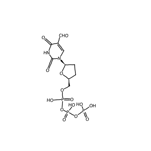 O=Cc1cn([C@H]2CC[C@@H](COP(=O)(O)OP(=O)(O)OP(=O)(O)O)O2)c(=O)[nH]c1=O